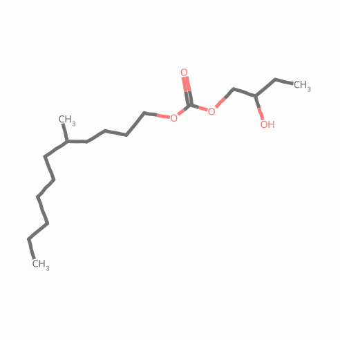 CCCCCCC(C)CCCCOC(=O)OCC(O)CC